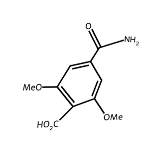 COc1cc(C(N)=O)cc(OC)c1C(=O)O